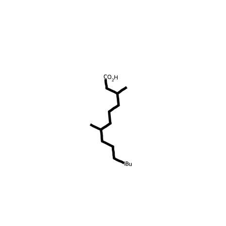 CCC(C)CCCC(C)CCCC(C)CC(=O)O